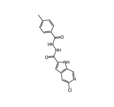 Cc1ccc(C(=O)NNC(=O)c2cc3cc(Cl)ncc3[nH]2)cc1